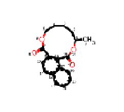 CC1CCCCOC(=O)c2ccc3ccccc3c2C(=O)O1